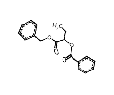 CCC(OC(=O)c1ccccc1)C(=O)OCc1ccccc1